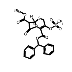 CC(C)(C)OC(=O)C1C(=O)N2C(C(=O)OC(c3ccccc3)c3ccccc3)=C(OS(=O)(=O)C(F)(F)F)CS[C@@H]12